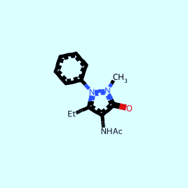 CCc1c(NC(C)=O)c(=O)n(C)n1-c1ccccc1